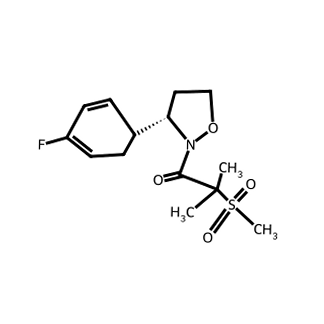 CC(C)(C(=O)N1OCC[C@H]1C1C=CC(F)=CC1)S(C)(=O)=O